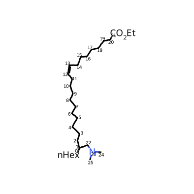 CCCCCCC(CCCCCCCCCC/C=C\CCCCCCCC(=O)OCC)CN(C)C